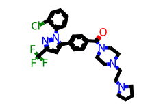 O=C(c1ccc(-c2cc(C(F)(F)F)nn2-c2ccccc2Cl)cc1)N1CCN(CCN2CCCC2)CC1